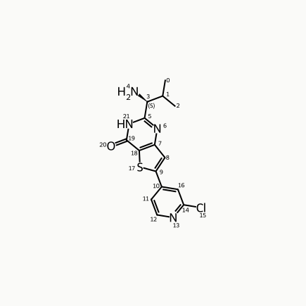 CC(C)[C@H](N)c1nc2cc(-c3ccnc(Cl)c3)sc2c(=O)[nH]1